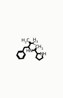 C=C(C)C(Cc1ccccc1)NC(=C)C1CCCN1